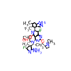 Cc1cc2[nH]ncc2c(-c2nc3c4c(nc(OC[C@@H]5CCN5C)nc4c2F)N([C@H](C)c2cc(F)cnc2N)[C@@H](C)CO3)c1C(F)(F)F.O=CO